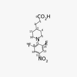 O=C(O)CCC1CCN(c2c(F)cc([N+](=O)[O-])cc2F)CC1